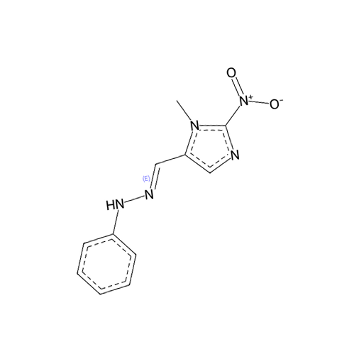 Cn1c(/C=N/Nc2ccccc2)cnc1[N+](=O)[O-]